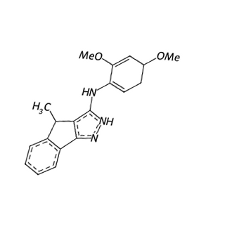 COC1=CC(OC)CC=C1Nc1[nH]nc2c1C(C)c1ccccc1-2